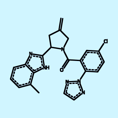 C=C1CC(c2nc3cccc(C)c3[nH]2)N(C(=O)c2cc(Cl)ccc2-n2nccn2)C1